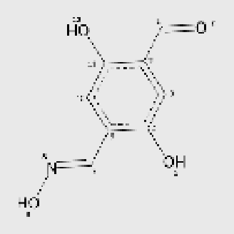 O=Cc1cc(O)c(C=NO)cc1O